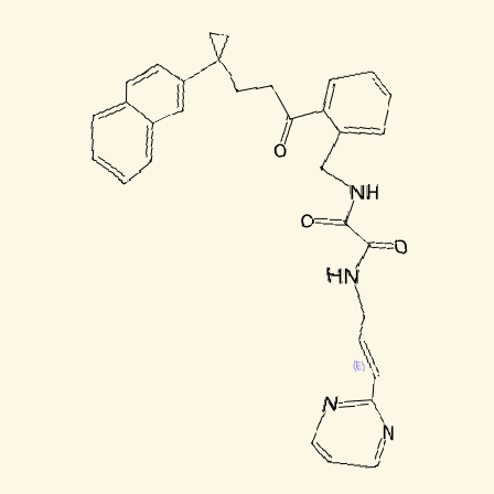 O=C(NC/C=C/c1ncccn1)C(=O)NCc1ccccc1C(=O)CCC1(c2ccc3ccccc3c2)CC1